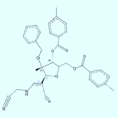 Cc1ccc(C(=O)OCC2O[C@@H](/C(C#N)=C/NCC#N)[C@](C)(OCc3ccccc3)[C@@H]2OC(=O)c2ccc(C)cc2)cc1